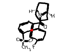 CS(=O)(=O)c1cccc(C(=O)N2[C@@H]3CC[C@H]2C[C@@H](c2ccc(F)cc2)C3)c1